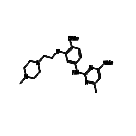 CNc1cc(C)nc(Nc2ccc(OC)c(OCCN3CCN(C)CC3)c2)n1